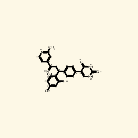 Cc1cc(/C(CC(c2ccc(-c3c[nH]c(=O)[nH]c3=O)cc2)c2ccc(Cl)cc2F)=N/O)ccn1